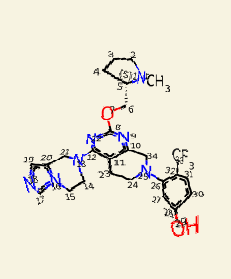 CN1CCC[C@H]1COc1nc2c(c(N3CCn4cncc4C3)n1)CCN(c1cc(O)ccc1C(F)(F)F)C2